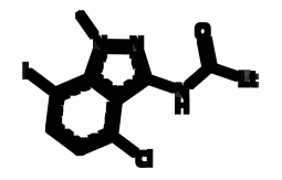 CCC(=O)Nc1nn(C)c2c(I)ccc(Cl)c12